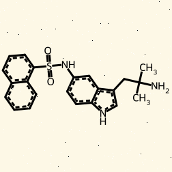 CC(C)(N)Cc1c[nH]c2ccc(NS(=O)(=O)c3cccc4ccccc34)cc12